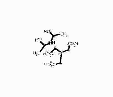 CC(O)NC(C)O.O=C(O)CN(CC(=O)O)CC(=O)O